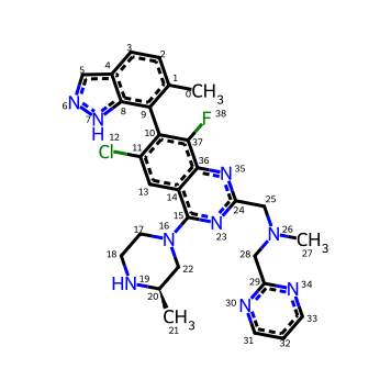 Cc1ccc2cn[nH]c2c1-c1c(Cl)cc2c(N3CCN[C@H](C)C3)nc(CN(C)Cc3ncccn3)nc2c1F